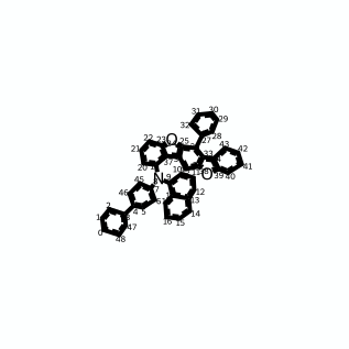 c1ccc(-c2ccc(N(c3cccc4ccccc34)c3cccc4oc5c(-c6ccccc6)c6c(cc5c34)oc3ccccc36)cc2)cc1